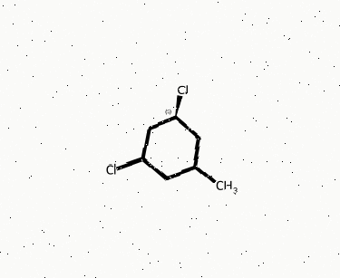 CC1CC(Cl)C[C@@H](Cl)C1